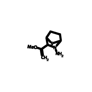 C=C(OC)C1C2CCC(S2)N1N